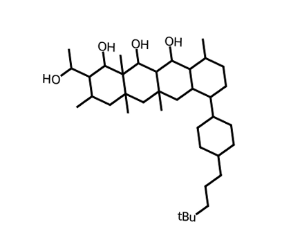 CC(O)C1C(C)CC2(C)CC3(C)CC4C(C5CCC(CCCC(C)(C)C)CC5)CCC(C)C4C(O)C3C(O)C2(C)C1O